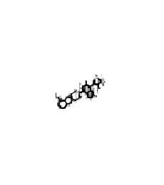 Cc1nc(N2CCC3(CC2)Cc2cccc(F)c2C3)c2ccnn2c1-c1cnn(C)c1C